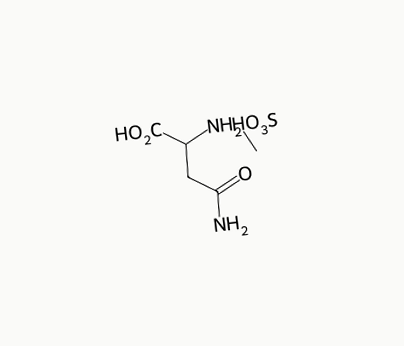 CS(=O)(=O)O.NC(=O)CC(N)C(=O)O